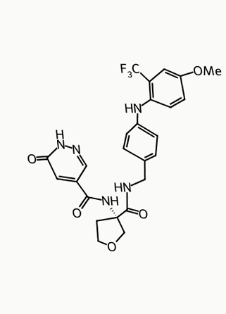 COc1ccc(Nc2ccc(CNC(=O)[C@]3(NC(=O)c4cn[nH]c(=O)c4)CCOC3)cc2)c(C(F)(F)F)c1